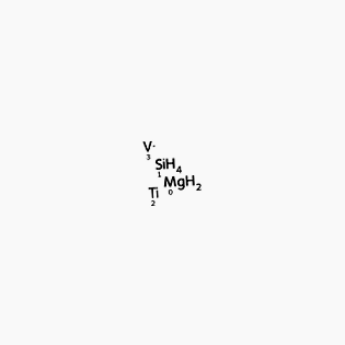 [MgH2].[SiH4].[Ti].[V]